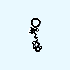 CC1(N)CCCC1CC(=O)SCCNS(=O)(=O)C1CCCCCCCC1